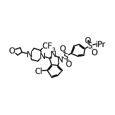 CC(C)S(=O)(=O)c1ccc(S(=O)(=O)n2nc(N3CCN(C4COC4)CC3C(F)(F)F)c3c(Cl)cccc32)cc1